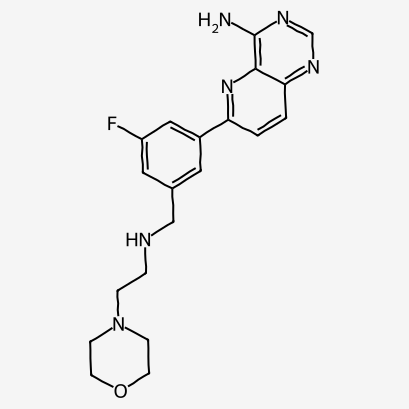 Nc1ncnc2ccc(-c3cc(F)cc(CNCCN4CCOCC4)c3)nc12